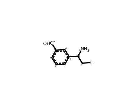 NC(CI)c1cccc(C=O)c1